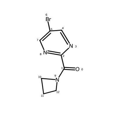 O=C(c1ncc(Br)cn1)N1CCC1